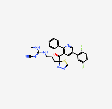 CNC(=NC#N)NCCCC1(C(=O)c2cc(-c3cc(F)ccc3F)cnc2-c2ccccc2)NN=CS1